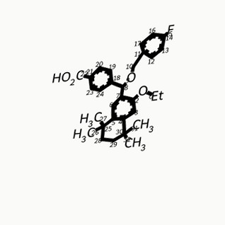 CCOc1cc2c(cc1C(OCc1ccc(F)cc1)c1ccc(C(=O)O)cc1)C(C)(C)CCC2(C)C